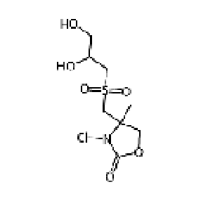 CC1(CS(=O)(=O)CC(O)CO)COC(=O)N1Cl